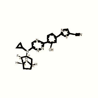 N#Cc1cnc(-c2ccc(-c3ncc(N(C4CC4)[C@H]4C[C@@H]5CC[C@@H](N5)[C@H]4F)nn3)c(O)c2)s1